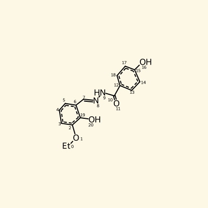 CCOc1cccc(C=NNC(=O)c2ccc(O)cc2)c1O